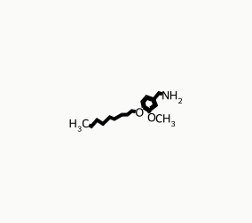 CCCCCCCCCOc1ccc(CN)cc1OC